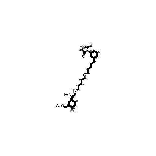 CC(=O)OCc1cc([C@@H](O)CNCCCCCOCCCCCc2cccc(N3C(=O)CNC3=O)c2)ccc1O